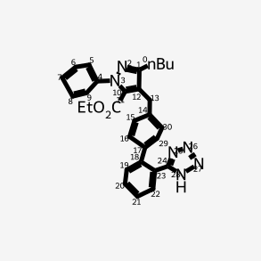 CCCCc1nn(-c2ccccc2)c(C(=O)OCC)c1Cc1ccc(-c2ccccc2-c2nnn[nH]2)cc1